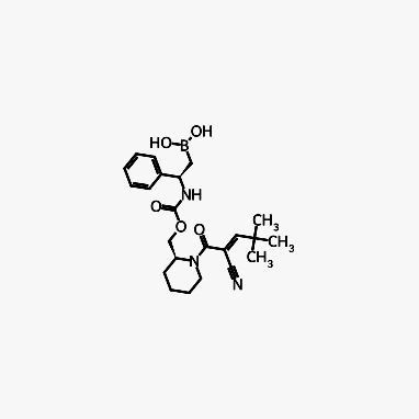 CC(C)(C)/C=C(\C#N)C(=O)N1CCCC[C@H]1COC(=O)N[C@H](CB(O)O)c1ccccc1